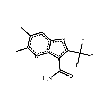 Cc1cc2nc(C(F)(F)F)c(C(N)=O)n2nc1C